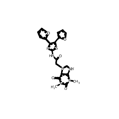 Cn1c2c(c(=O)n(C)c1=O)N(CC(=O)Nc1nc(-c3ccco3)c(-c3ccco3)s1)CN2